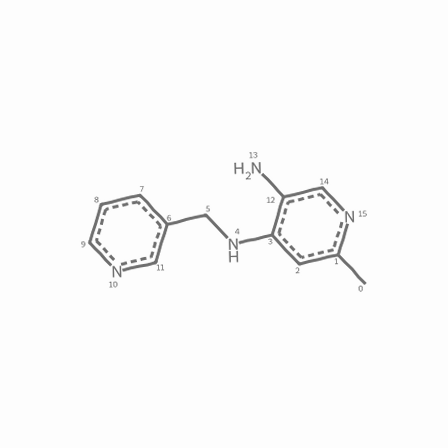 Cc1cc(NCc2cccnc2)c(N)cn1